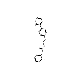 O=C(CCCc1ccc(-c2cccnc2F)cc1)Nc1ccccc1